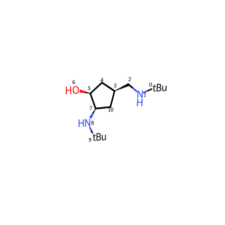 CC(C)(C)NC[C@@H]1C[C@H](O)[C@H](NC(C)(C)C)C1